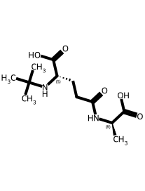 C[C@@H](NC(=O)CC[C@H](NC(C)(C)C)C(=O)O)C(=O)O